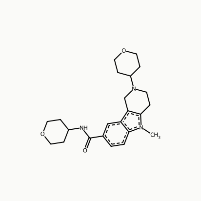 Cn1c2c(c3cc(C(=O)NC4CCOCC4)ccc31)CN(C1CCOCC1)CC2